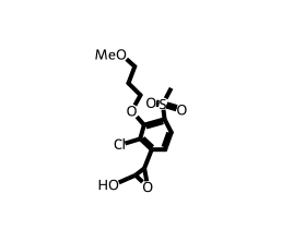 COCCCOc1c(S(C)(=O)=O)ccc(C2OC2O)c1Cl